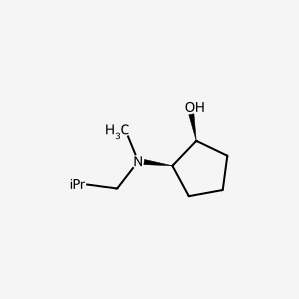 CC(C)CN(C)[C@@H]1CCC[C@@H]1O